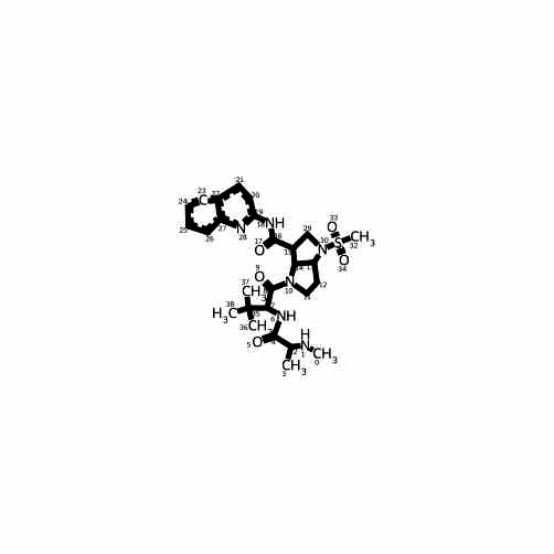 CNC(C)C(=O)NC(C(=O)N1CCC2C1C(C(=O)Nc1ccc3ccccc3n1)CN2S(C)(=O)=O)C(C)(C)C